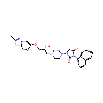 Cc1nc2cc(OC[C@H](O)CN3CCN(C4CC(=O)N(c5cccc6ccccc56)C4=O)CC3)ccc2s1